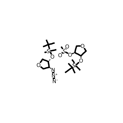 CC(C)(C)[Si](C)(C)O[C@H]1COC[C@@H]1OS(C)(=O)=O.CC(C)(C)[Si](C)(C)O[C@H]1COC[C@H]1N=[N+]=[N-]